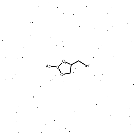 CC(=O)B1OCC(CC(C)C)O1